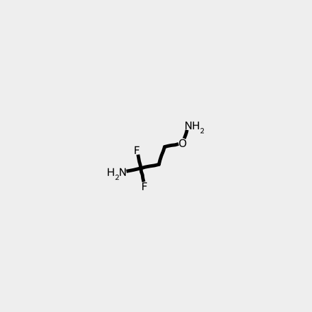 NOCCC(N)(F)F